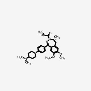 CNC(=O)N1N=C(c2ccc(N3CCC(N(C)C)CC3)cc2)c2cc(OC)c(OC)cc2C[C@H]1C